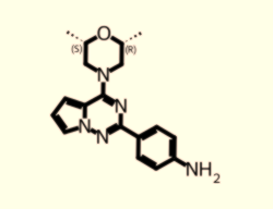 C[C@@H]1CN(c2nc(-c3ccc(N)cc3)nn3cccc23)C[C@H](C)O1